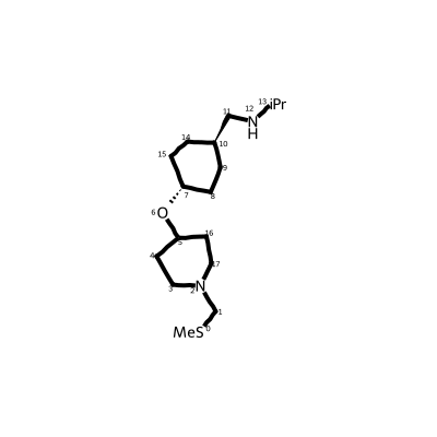 CSCN1CCC(O[C@H]2CC[C@H](CNC(C)C)CC2)CC1